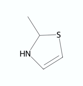 CC1NC=CS1